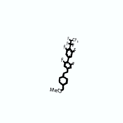 COCC1CCC(CCc2cc(F)c(-c3cc(F)c(C(F)(F)C(F)C(F)(F)F)c(F)c3)c(F)c2)CC1